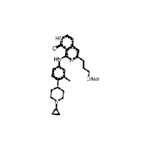 COCCCc1cc2cc[nH]c(=O)c2c(Nc2ccc(C3CCN(C4CC4)CC3)c(C)c2)n1